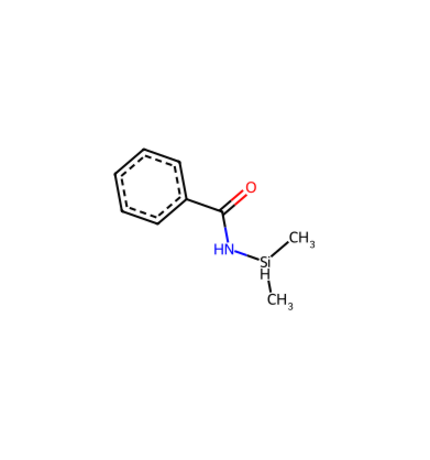 C[SiH](C)NC(=O)c1ccccc1